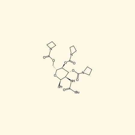 CCC[C@H]1O[C@H](COC(=O)N2CCC2)[C@@H](OC(=O)N2CCC2)[C@H](OC(=O)N2CCC2)[C@H]1NC(=O)C(C)(C)C